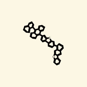 c1cc(-c2ccc3c(c2)sc2cc(-c4c5ccccc5c(-c5cccc6ccccc56)c5ccccc45)ccc23)c2cc3oc4ccccc4c3cc2c1